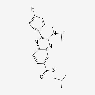 CC(C)CSC(=O)c1ccc2nc(-c3ccc(F)cc3)c(N(C)C(C)C)nc2c1